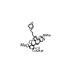 CNc1ncc2cc(-c3c(Cl)c(OC)cc(OC)c3Cl)c3nc(CCCN4CCN(C)CC4)cn3c2n1